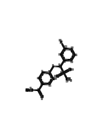 COC(=O)c1ccc(CN(c2cccc(F)c2)S(C)(=O)=O)nc1